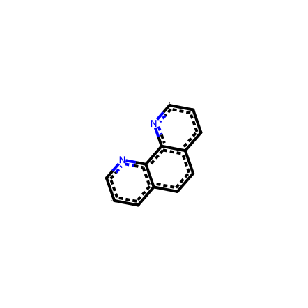 [c]1cnc2c(c1)ccc1cc[c]nc12